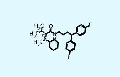 CC(C)[C@@H](C(=O)NCCCC(c1ccc(F)cc1)c1ccc(F)cc1)N(C)C1CCCCC1